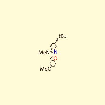 CNC1=C(c2cc3cc(OC)ccc3o2)N=C2C=C(C#CC(C)(C)C)C=CC21